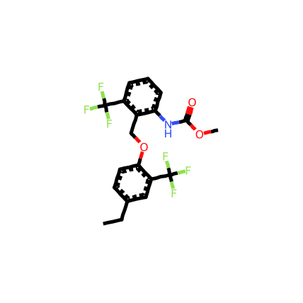 CCc1ccc(OCc2c(NC(=O)OC)cccc2C(F)(F)F)c(C(F)(F)F)c1